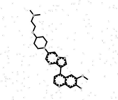 COc1cc2c(-c3cnn4cc(N5CCC(OCCN(C)C)CC5)cnc34)ccnc2cc1F